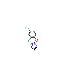 Clc1ccc(On2c[c]cn2)c(Cl)c1